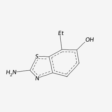 CCc1c(O)ccc2nc(N)sc12